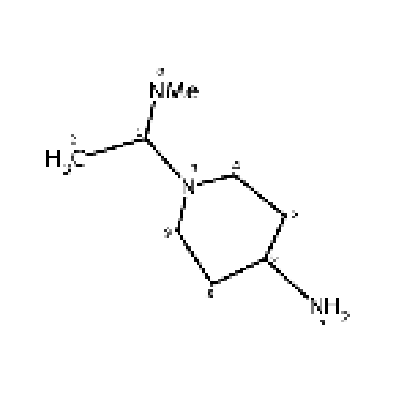 CNC(C)N1CCC(N)CC1